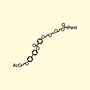 CCCC(C)C(=O)OCCOCCOCCOc1ccc(C(=O)Oc2ccc(-c3ccc(OCCOC(C)=O)cc3)cc2)cc1